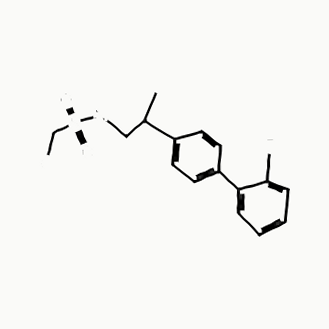 CC(CNS(=O)(=O)CCl)c1ccc(-c2ccccc2F)cc1